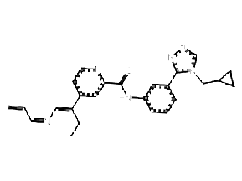 C=C/C=N\C=C(/CC)c1ccnc(C(=O)Nc2cccc(-c3nncn3CC3CC3)c2)c1